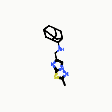 Cc1nn2cc(CNC3C4CC5CC(C4)CC3C5)nc2s1